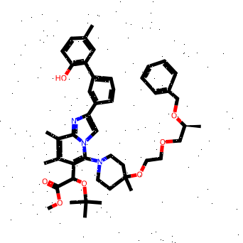 COC(=O)C(OC(C)(C)C)c1c(C)c(C)c2nc(-c3cccc(-c4cc(C)ccc4O)c3)cn2c1N1CCC(C)(OCCOC[C@H](C)OCc2ccccc2)CC1